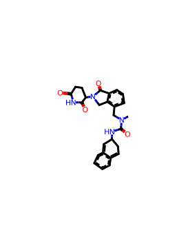 CN(Cc1cccc2c1CN(C1CCC(=O)NC1=O)C2=O)C(=O)NC1C=c2ccccc2=CC1